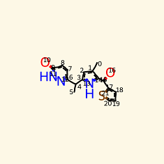 Cc1cc(C(C)c2ccc(=O)[nH]n2)[nH]c1C(=O)c1cccs1